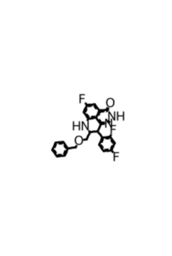 O=c1[nH]nc2c3c(cc(F)cc13)NC(COCc1ccccc1)C2c1ccc(F)cc1F